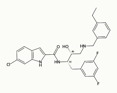 CCc1cccc(CNC[C@@H](O)[C@H](Cc2cc(F)cc(F)c2)NC(=O)c2cc3ccc(Cl)cc3[nH]2)c1